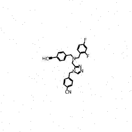 C#Cc1ccc(CN(Cc2ccc(F)cc2F)Cc2nncn2Cc2ccc(C#N)cc2)cc1